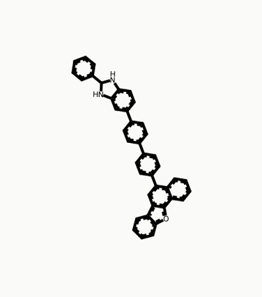 c1ccc(C2Nc3ccc(-c4ccc(-c5ccc(-c6cc7c8ccccc8oc7c7ccccc67)cc5)cc4)cc3N2)cc1